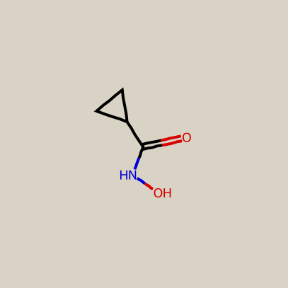 O=C(NO)C1CC1